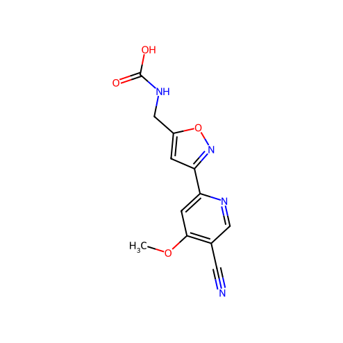 COc1cc(-c2cc(CNC(=O)O)on2)ncc1C#N